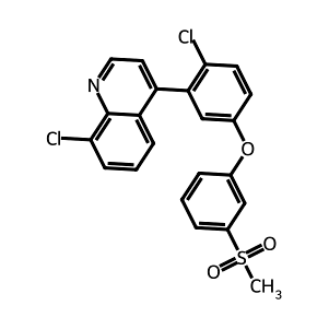 CS(=O)(=O)c1cccc(Oc2ccc(Cl)c(-c3ccnc4c(Cl)cccc34)c2)c1